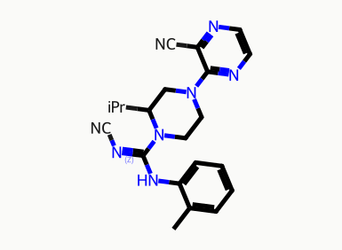 Cc1ccccc1N/C(=N/C#N)N1CCN(c2nccnc2C#N)CC1C(C)C